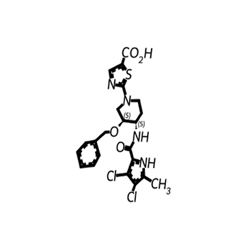 Cc1[nH]c(C(=O)N[C@H]2CCN(c3ncc(C(=O)O)s3)C[C@@H]2OCc2ccccc2)c(Cl)c1Cl